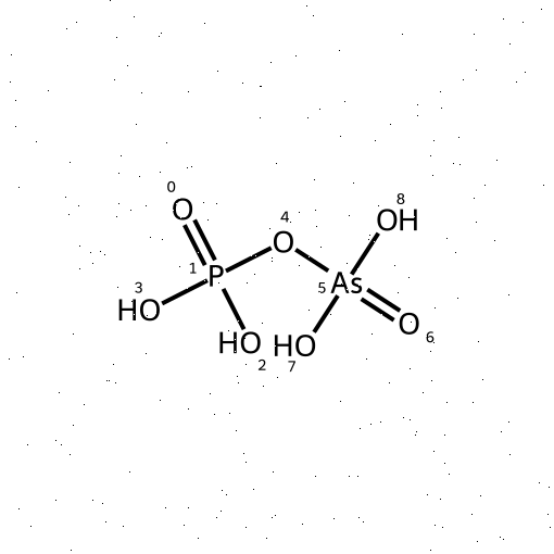 O=P(O)(O)O[As](=O)(O)O